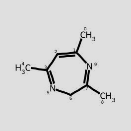 CC1=CC(C)=NCC(C)=N1